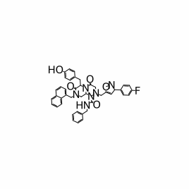 O=C1C(Cc2ccc(O)cc2)N2C(=O)CN(Cc3cc(-c4ccc(F)cc4)no3)N(C(=O)NCc3ccccc3)C2CN1Cc1cccc2ccccc12